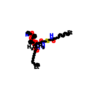 CC/C=C\C/C=C\C/C=C\C/C=C\C/C=C\CCCC(=O)NCCSSCCNC(=O)CCNC(=O)[C@H](OC(=O)c1ccccc1OC(=O)c1ccccc1OC(=O)c1cccnc1)C(C)(C)COC(=O)CCC/C=C/C=C/C/C=C\C/C=C\C/C=C\CC